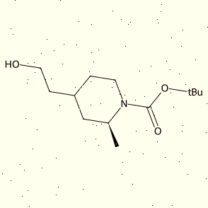 C[C@H]1CC(CCO)CCN1C(=O)OC(C)(C)C